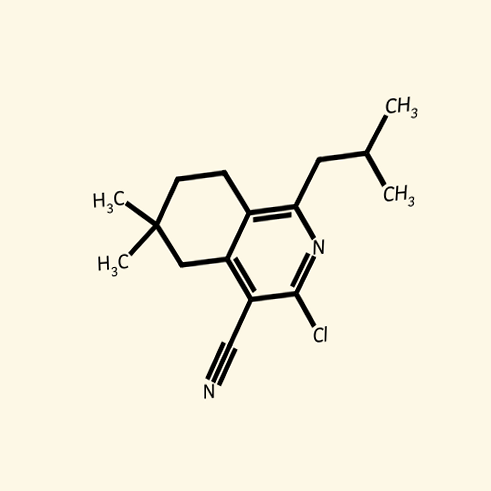 CC(C)Cc1nc(Cl)c(C#N)c2c1CCC(C)(C)C2